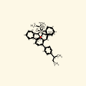 CCC(C)c1ccc(-c2cccc3c2C=C(C)[CH]3[Zr]([Cl])([Cl])([c]2ccccc2)([CH]2C=Cc3ccccc32)[SiH](C)C)cc1